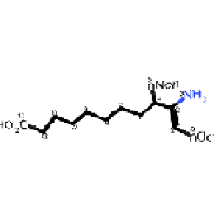 CCCCCCCCC=C(N)C(CCCCCCCCC)CCCCCCCC(=O)O